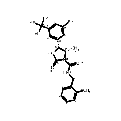 Cc1ccccc1CNC(=O)N1C(=O)O[C@H](c2cc(F)cc(C(F)(F)F)c2)[C@@H]1C